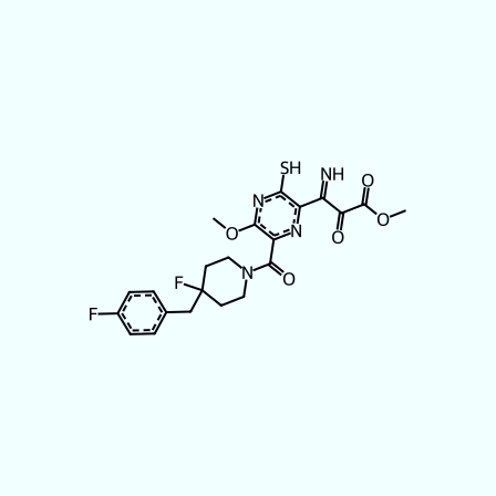 COC(=O)C(=O)C(=N)c1nc(C(=O)N2CCC(F)(Cc3ccc(F)cc3)CC2)c(OC)nc1S